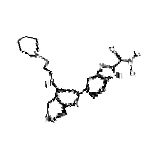 CCN(CC)C(=O)c1nc2cc(-c3cc(NCCCN4CCCCC4)c4cnccc4n3)ccc2[nH]1